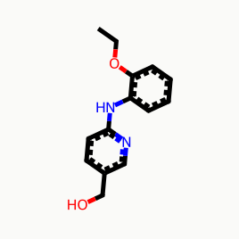 CCOc1ccccc1Nc1ccc(CO)cn1